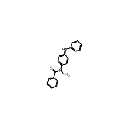 NN(C(=O)c1ccccc1)c1ccc(Nc2ccccc2)cc1